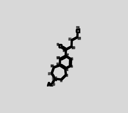 CC(=O)N1CCc2ccc(C(=O)CCCCl)cc2CC1